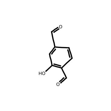 O=Cc1ccc(C=O)c(O)c1